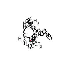 C[C@@H]1CC/C=C\[C@@H]2C[C@@]2(C(=O)NS(=O)(=O)C2(C)CC2)NC(=O)[C@@H]2C[C@@H](Oc3nccc4c(N5CCOCC5)cccc34)CN2C(=O)[C@@H](NC(=O)OC(C)(C)C(F)(F)F)[C@H](C)C1